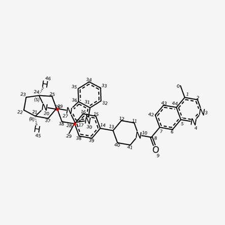 Cc1cnnc2cc(C(=O)N3CCC(c4ccc(CCN5[C@@H]6CC[C@H]5CC(n5c(C)nc7ccccc75)C6)cc4)CC3)ccc12